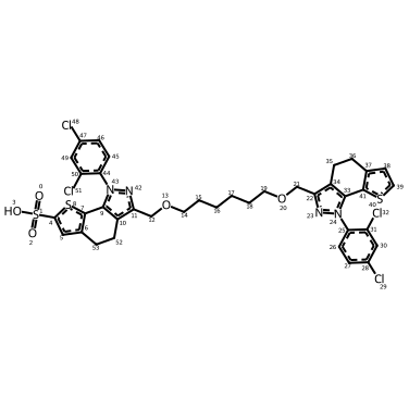 O=S(=O)(O)c1cc2c(s1)-c1c(c(COCCCCCCOCc3nn(-c4ccc(Cl)cc4Cl)c4c3CCc3ccsc3-4)nn1-c1ccc(Cl)cc1Cl)CC2